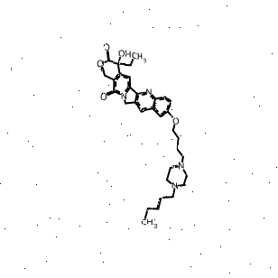 CCCCCN1CCN(CCCCOc2ccc3nc4c(cc3c2)Cn2c-4cc3c(c2=O)COC(=O)[C@]3(O)CC)CC1